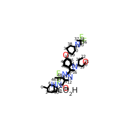 CC1CC2CC(C1)C(NC(=O)c1cnc(-c3cn(C4CCOCC4)c4cc(O[C@H]5CC[C@H](N6CC(F)(F)C6)CC5)ccc34)nc1C(C)(F)F)(C(=O)O)C2